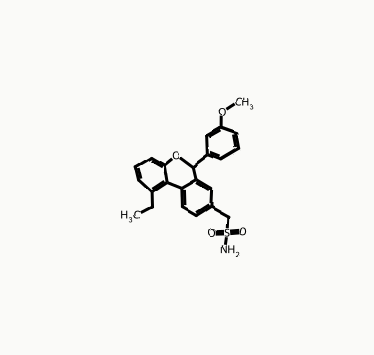 CCc1cccc2c1-c1ccc(CS(N)(=O)=O)cc1C(c1cccc(OC)c1)O2